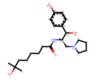 CC(C)(O)CCCCCC(=O)N[C@H](CN1CCCC1)C(O)c1ccc(O)cc1